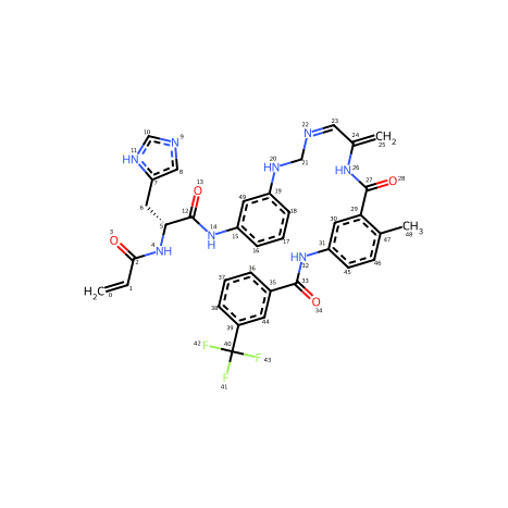 C=CC(=O)N[C@H](Cc1cnc[nH]1)C(=O)Nc1cccc(NC/N=C\C(=C)NC(=O)c2cc(NC(=O)c3cccc(C(F)(F)F)c3)ccc2C)c1